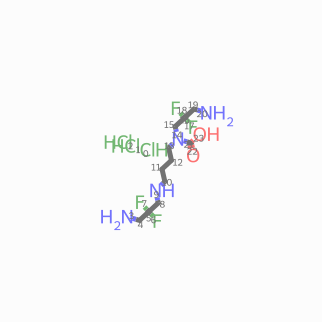 Cl.Cl.Cl.NCC(F)(F)CNCCCCN(CC(F)(F)CN)C(=O)O